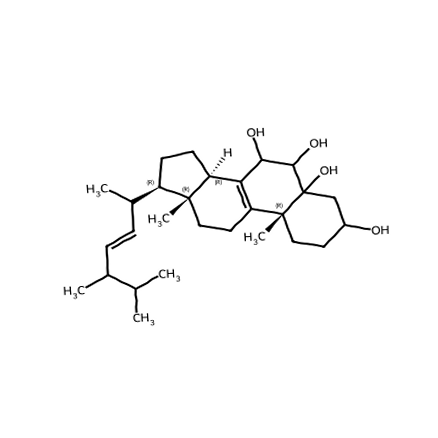 CC(C)C(C)C=CC(C)[C@H]1CC[C@H]2C3=C(CC[C@]12C)[C@@]1(C)CCC(O)CC1(O)C(O)C3O